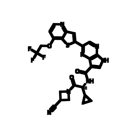 N#CC1CN(C(=O)[C@H](NC(=O)c2c[nH]c3ncc(-c4cc5nccc(OCC(F)(F)F)c5s4)nc23)C2CC2)C1